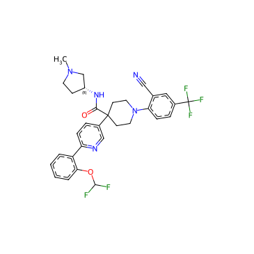 CN1CC[C@@H](NC(=O)C2(c3ccc(-c4ccccc4OC(F)F)nc3)CCN(c3ccc(C(F)(F)F)cc3C#N)CC2)C1